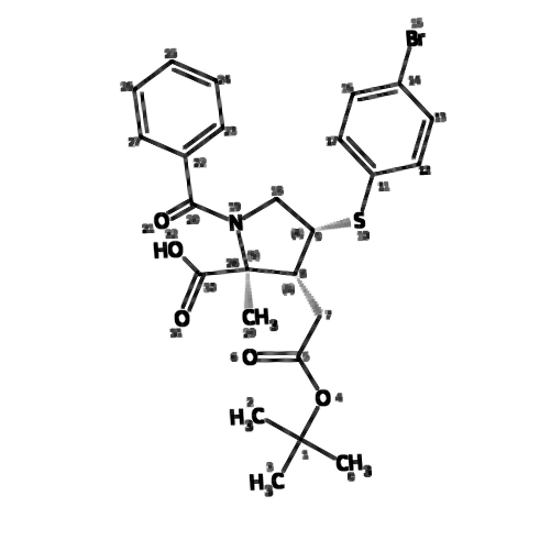 CC(C)(C)OC(=O)C[C@H]1[C@@H](Sc2ccc(Br)cc2)CN(C(=O)c2ccccc2)[C@]1(C)C(=O)O